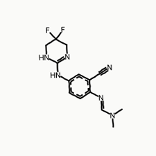 CN(C)/C=N/c1ccc(NC2=NCC(F)(F)CN2)cc1C#N